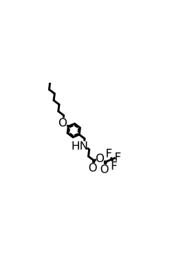 CCCCCCCOc1ccc(CNCCC(=O)OC(=O)C(F)(F)F)cc1